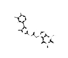 CCc1sc(NC(=O)Cn2cnc3c2c(=O)n(C)c(=O)n3C)nc1-c1ccc(Cl)c(Cl)c1